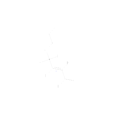 CCCOC(F)(F)/C(F)=C(\F)C(F)F